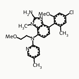 COCCN(c1ccc(C)cn1)c1ccc(-c2c(C)cc(Cl)cc2OC)c2nc(N)n(C)c12